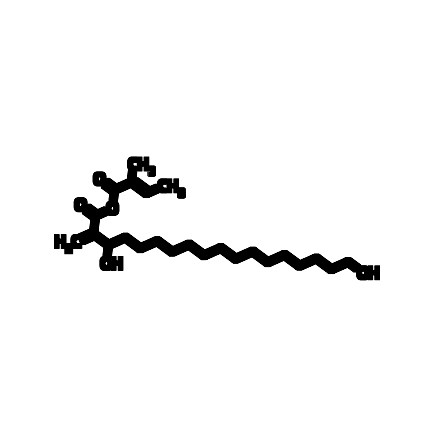 C=C(C(=O)OC(=O)C(C)=CC)C(O)CCCCCCCCCCCCCCCO